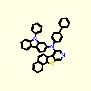 C1=Cc2ccc3c(sc4cncc(N(c5ccc(-c6ccccc6)cc5)c5ccc6c7ccccc7n(-c7ccccc7)c6c5)c43)c2CC1